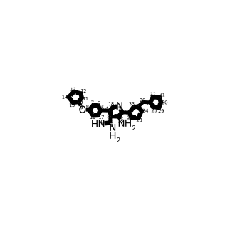 N=C(N)c1c(-c2ccc(Oc3ccccc3)cc2)cnc(-c2cccc(Cc3ccccc3)c2)c1N